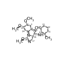 COc1cc2nc(Nc3c(C)cccc3Cl)c3cnc(OC)n3c2cc1OC